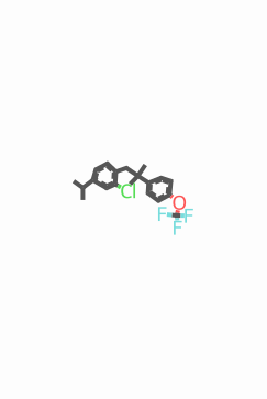 CC(C)c1ccc(CC(C)(C)c2ccc(OC(F)(F)F)cc2)c(Cl)c1